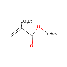 C=C(C(=O)OCC)C(=O)OCCCCCC